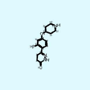 O=C1CCC(c2ccc(OC3CCNCC3)cc2F)=NN1